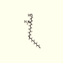 CCCCCCCC/C=C\CCCCCCCC(N)CCCO